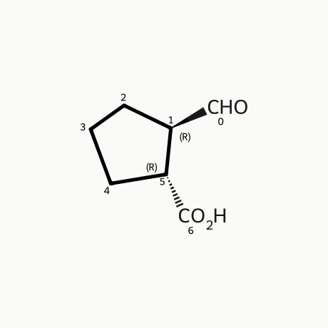 O=C[C@@H]1CCC[C@H]1C(=O)O